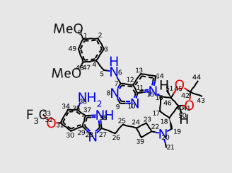 COc1ccc(CNc2ncnc3c2ccn3[C@@H]2C[C@H](CN(C)C3CC(CCc4nc5cc(OC(F)(F)F)cc(N)c5[nH]4)C3)[C@H]3OC(C)(C)O[C@H]32)c(OC)c1